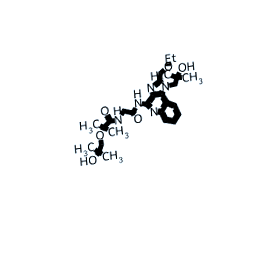 CCOCc1nc2c(NC(=O)CNC(=O)C(C)(C)OCC(C)(C)O)nc3ccccc3c2n1CC(C)(C)O